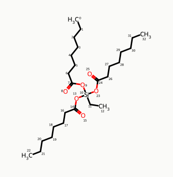 CCCCCCCC(=O)O[Si](CC)(OC(=O)CCCCCCC)OC(=O)CCCCCCC